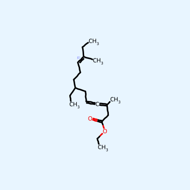 CCOC(=O)CC(C)=C=CCC(CC)CC/C=C(\C)CC